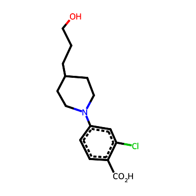 O=C(O)c1ccc(N2CCC(CCCO)CC2)cc1Cl